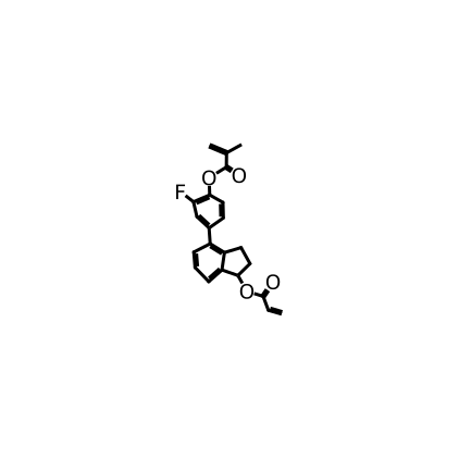 C=CC(=O)OC1CCc2c(-c3ccc(OC(=O)C(=C)C)c(F)c3)cccc21